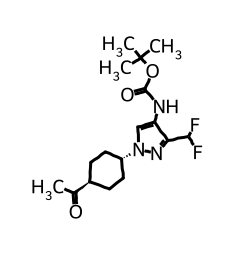 CC(=O)[C@H]1CC[C@H](n2cc(NC(=O)OC(C)(C)C)c(C(F)F)n2)CC1